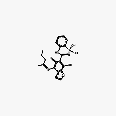 CCCC(C)=Nn1c(=O)c(C2=NS(O)(O)c3ccccc3N2)c(O)c2sccc21